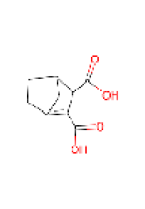 O=C(O)C1=C2CCC(C2)C1C(=O)O